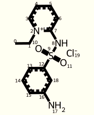 CC[n+]1ccccc1NS(=O)(=O)c1cccc(N)c1.[Cl-]